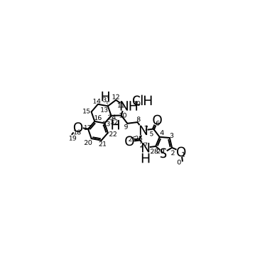 COc1cc2c(=O)n(CCC3NC[C@@H]4CCc5c(OC)cccc5[C@H]34)c(=O)[nH]c2s1.Cl